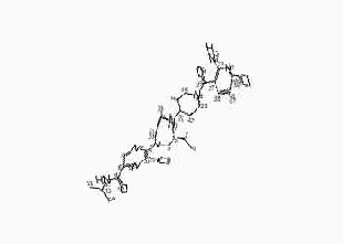 CC[C@H]1CN(c2ncc(C(=O)NC(C)C)nc2Cl)CCN1C1CCN(C(=O)c2ccc(Cl)nc2N)CC1